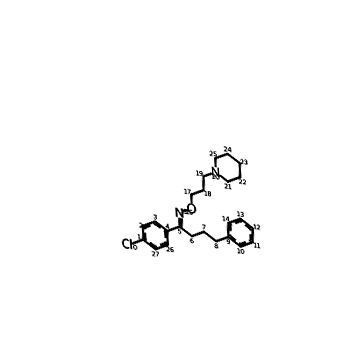 Clc1ccc(C(CCCc2ccccc2)=NOCCCN2CCCCC2)cc1